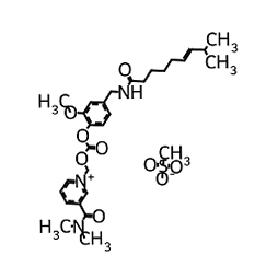 COc1cc(CNC(=O)CCCCC=CC(C)C)ccc1OC(=O)OC[n+]1cccc(C(=O)N(C)C)c1.CS(=O)(=O)[O-]